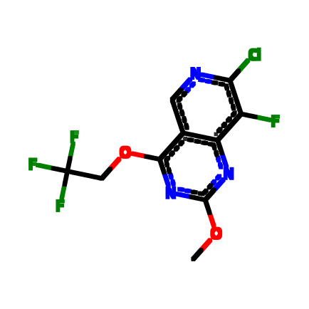 COc1nc(OCC(F)(F)F)c2cnc(Cl)c(F)c2n1